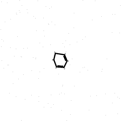 [C]1=CC=CCC1